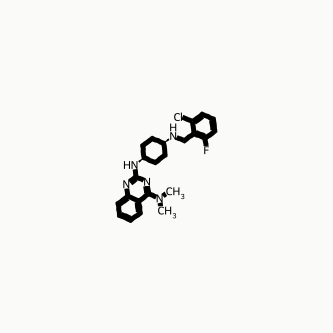 CN(C)c1nc(N[C@H]2CC[C@@H](NCc3c(F)cccc3Cl)CC2)nc2ccccc12